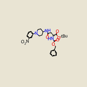 CC(C)(C)OC(=O)[C@H](CC(=O)NC1CCN(c2cccc([N+](=O)[O-])c2)CC1)NC(=O)OCc1ccccc1